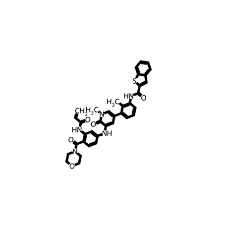 C=CC(=O)Nc1cc(Nc2cc(-c3cccc(NC(=O)c4cc5ccccc5s4)c3C)cn(C)c2=O)ccc1C(=O)N1CCOCC1